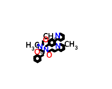 COCCN(C)C(=O)[C@H](Cc1ccccc1)N(Cc1ccc(-c2ccccn2)cc1)C(=O)C=Cc1ccc(C)cn1